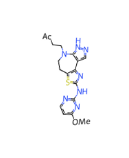 COc1ccnc(Nc2nc3c(s2)CCN(CCC(C)=O)c2[nH]ncc2-3)n1